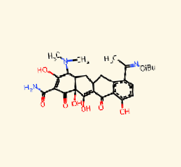 C/C(=N/OCC(C)C)c1ccc(O)c2c1CC1CC3C(N(C)C)C(O)=C(C(N)=O)C(=O)C3(O)C(O)=C1C2=O